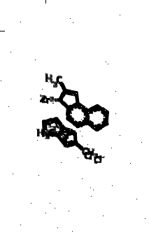 CC1=C2C3=NC=CC3=C1[Si]2(C)C.CC1=Cc2c(ccc3ccccc23)[CH]1[Zr+2].[Cl-].[Cl-]